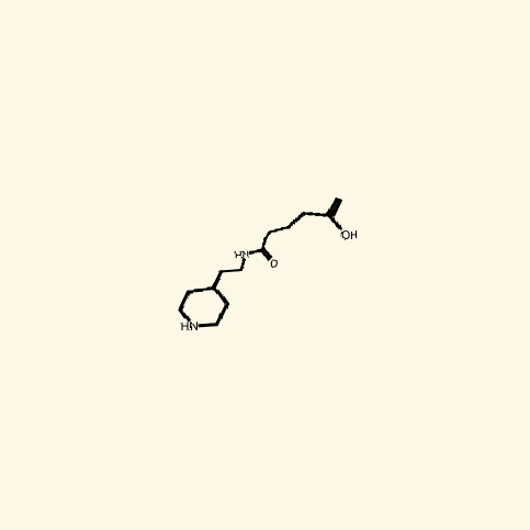 C=C(O)CCCC(=O)NCCC1CCNCC1